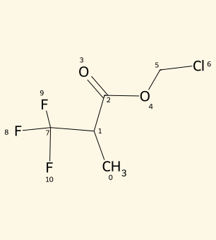 CC(C(=O)OCCl)C(F)(F)F